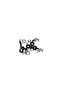 CC(C)Cc1ccc([N+](C)(c2ccc(CC(C)C)cc2)c2cccc(C(=O)c3cc(CCCC(=O)O)n4ccccc34)c2)cc1.Cl